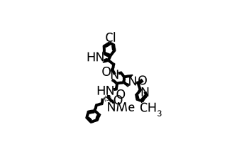 CNC(=O)[C@H](CCCc1ccccc1)NC(=O)C1CN(C(=O)Cc2c[nH]c3cc(Cl)ccc23)CC2CN(C(=O)c3ccc(C)cn3)CC21